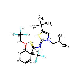 CC(C)Cn1cc(C(C)(C)C)sc1=NC(=S)C1(C(F)(F)F)C=CC=CC1OCC(F)(F)F